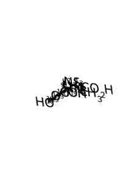 C[C@]1(C(=O)O)CSC(c2nccc(OCCOCCO)c2O)=N1